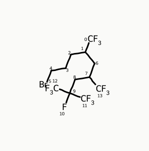 FC(F)(F)C(CCCBr)CC(CC(F)(C(F)(F)F)C(F)(F)F)C(F)(F)F